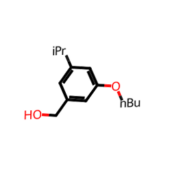 CCCCOc1cc(CO)cc(C(C)C)c1